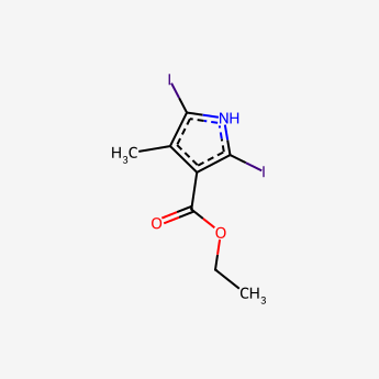 CCOC(=O)c1c(I)[nH]c(I)c1C